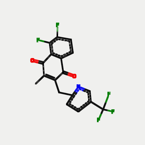 CC1=C(Cc2ccc(C(F)(F)F)cn2)C(=O)c2ccc(F)c(F)c2C1=O